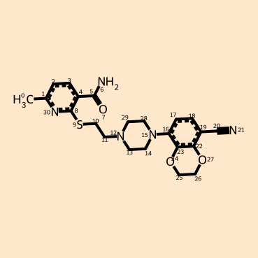 Cc1ccc(C(N)=O)c(SCCN2CCN(c3ccc(C#N)c4c3OCCO4)CC2)n1